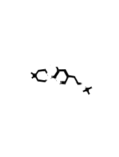 CC(C)(C)OC(=O)Cc1cnc(N2CCC(F)(F)CC2)c(Cl)c1